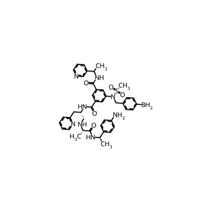 Bc1ccc(CN(c2cc(C(=O)NC(C)c3cccnc3)cc(C(=O)N[C@H](CN[C@@H](C)C(=O)N[C@H](C)c3ccc(N)cc3)Cc3ccccn3)c2)S(C)(=O)=O)cc1